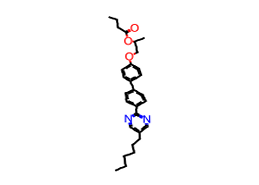 CCCCCCc1cnc(-c2ccc(-c3ccc(OCC(C)OC(=O)CCC)cc3)cc2)nc1